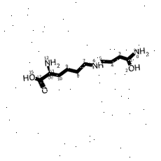 NC(O)CCCNCCCC[C@H](N)C(=O)O